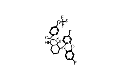 CN=S(=O)(NC1CCCC(N2c3ccc(F)cc3Oc3cc(F)ccc32)C1O)c1ccc(OC(F)(F)F)cc1